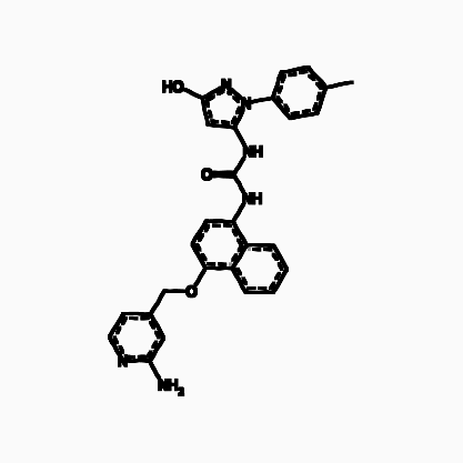 Cc1ccc(-n2nc(O)cc2NC(=O)Nc2ccc(OCc3ccnc(N)c3)c3ccccc23)cc1